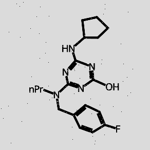 CCCN(Cc1ccc(F)cc1)c1nc(O)nc(NC2CCCC2)n1